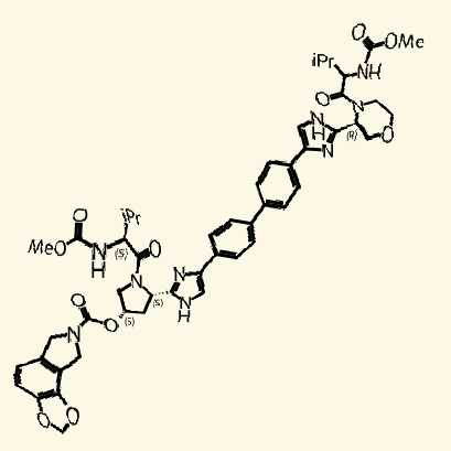 COC(=O)NC(C(=O)N1CCOC[C@H]1c1nc(-c2ccc(-c3ccc(-c4c[nH]c([C@@H]5C[C@H](OC(=O)N6Cc7ccc8c(c7C6)OCO8)CN5C(=O)[C@@H](NC(=O)OC)C(C)C)n4)cc3)cc2)c[nH]1)C(C)C